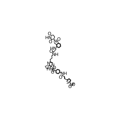 COc1nc(CCCNC(=O)CNc2cccc3c2CN(C2CCC(=O)NC2=O)C3=O)cnc1NS(=O)(=O)c1ccc(NC(=O)/C=C/c2ccc([N+](=O)[O-])s2)cc1